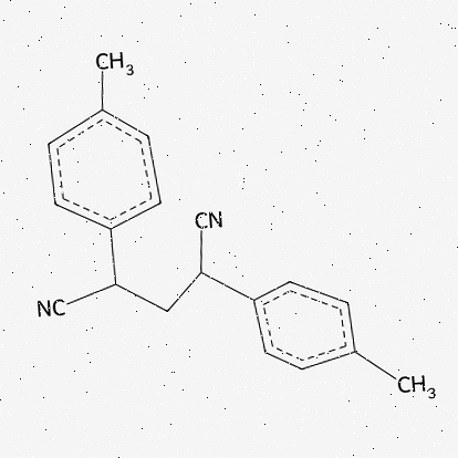 Cc1ccc(C(C#N)CC(C#N)c2ccc(C)cc2)cc1